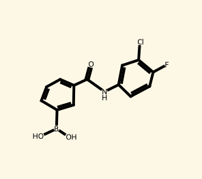 O=C(Nc1ccc(F)c(Cl)c1)c1cccc(B(O)O)c1